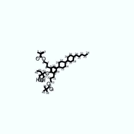 C=C(C)C(=O)OCCCc1cc(C2CCC(C3CCC(CCCCC)CC3)CC2)cc(CCCOC(=O)C(C)(C)C)c1OCC(CC)(CO)CO